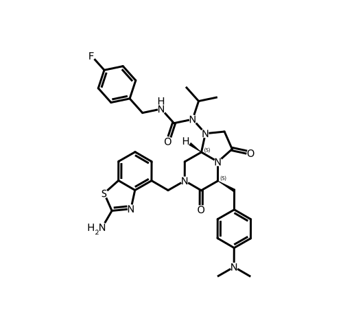 CC(C)N(C(=O)NCc1ccc(F)cc1)N1CC(=O)N2[C@@H](Cc3ccc(N(C)C)cc3)C(=O)N(Cc3cccc4sc(N)nc34)C[C@@H]21